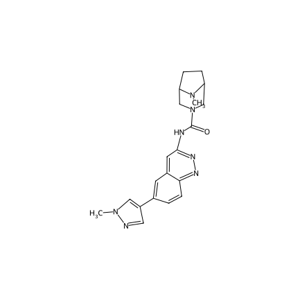 CN1C2CCC1CN(C(=O)Nc1cc3cc(-c4cnn(C)c4)ccc3nn1)C2